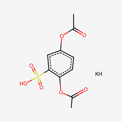 CC(=O)Oc1ccc(OC(C)=O)c(S(=O)(=O)O)c1.[KH]